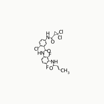 C/C=C/C(=O)Nc1c(F)ccc(NC(=O)c2cc(NC(=O)C3CC3(Cl)Cl)ccc2Cl)c1F